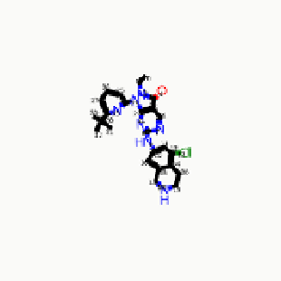 CCn1c(=O)c2cnc(Nc3cc(Cl)c4c(c3)CNCC4)nc2n1-c1cccc(C(C)(C)C)n1